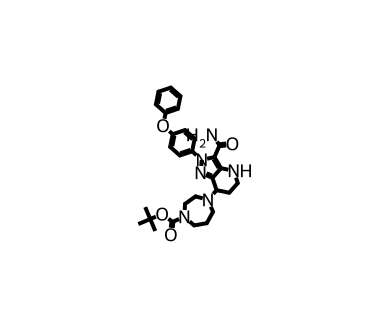 CC(C)(C)OC(=O)N1CCCN(C2CCNc3c2nn(-c2ccc(Oc4ccccc4)cc2)c3C(N)=O)CC1